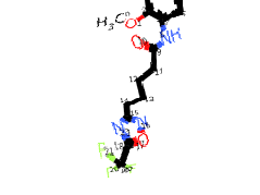 COc1ccccc1NC(=O)CCCCc1noc(C(F)(F)F)n1